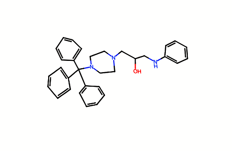 OC(CNc1ccccc1)CN1CCN(C(c2ccccc2)(c2ccccc2)c2ccccc2)CC1